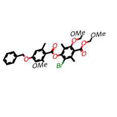 COCOC(=O)c1c(C)c(Br)c(OC(=O)c2c(C)cc(OCc3ccccc3)cc2OC)c(C)c1OCOC